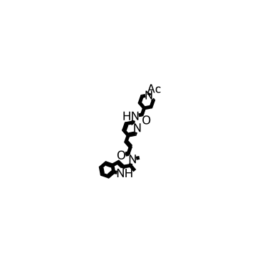 CC(=O)N1CCC(C(=O)Nc2ccc(/C=C/C(=O)N(C)C(C)c3cc4ccccc4[nH]3)cn2)CC1